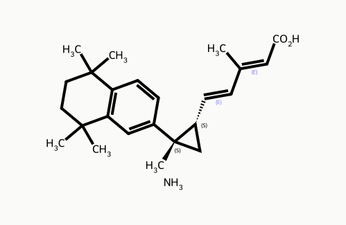 CC(/C=C/[C@@H]1C[C@]1(C)c1ccc2c(c1)C(C)(C)CCC2(C)C)=C\C(=O)O.N